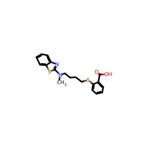 CN(CCCCSc1ccccc1C(=O)O)c1nc2ccccc2s1